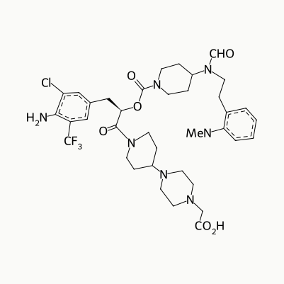 CNc1ccccc1CCN(C=O)C1CCN(C(=O)O[C@H](Cc2cc(Cl)c(N)c(C(F)(F)F)c2)C(=O)N2CCC(N3CCN(CC(=O)O)CC3)CC2)CC1